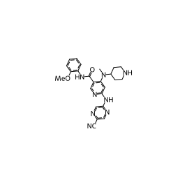 COc1ccccc1NC(=O)c1cnc(Nc2cnc(C#N)cn2)cc1N(C)C1CCNCC1